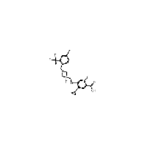 O=C(O)c1cc(C2CC2)c(OCC2(F)CN(Cc3ccc(Cl)cc3C(F)(F)F)C2)cc1F